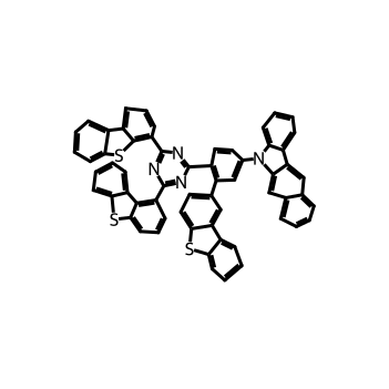 c1ccc2cc3c(cc2c1)c1ccccc1n3-c1ccc(-c2nc(-c3cccc4c3sc3ccccc34)nc(-c3cccc4sc5ccccc5c34)n2)c(-c2ccc3sc4ccccc4c3c2)c1